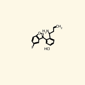 C=CCC(N)c1ccccc1-c1noc2ccc(F)cc12.Cl